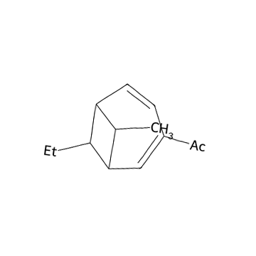 CCC1C2C=CC(C(C)=O)=CC1C2C